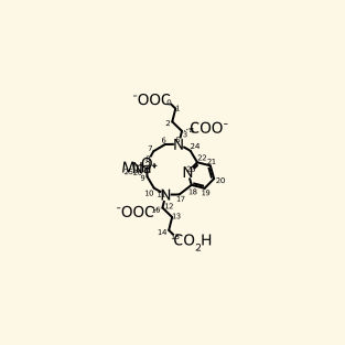 O=C([O-])CC[C@H](C(=O)[O-])N1CCOCCN([C@H](CCC(=O)O)C(=O)[O-])Cc2cccc(n2)C1.[Mn+2].[Na+]